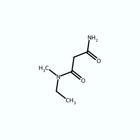 CCN(C)C(=O)[CH]C(N)=O